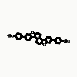 CC(C)(C)c1ccc(-c2ccc3c(c2)oc2ccc4c(ccc5oc6cc(-c7ccc(C(C)(C)C)cc7)ccc6c54)c23)cc1